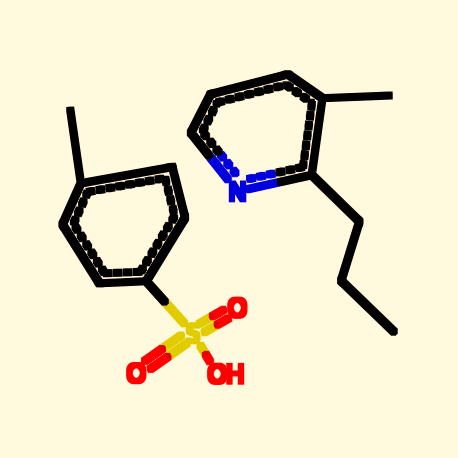 CCCc1ncccc1C.Cc1ccc(S(=O)(=O)O)cc1